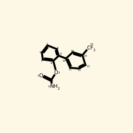 NC(=O)Oc1ccccc1-c1cccc(C(F)(F)F)c1